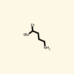 CCC(CCCN)C(C)(C)C